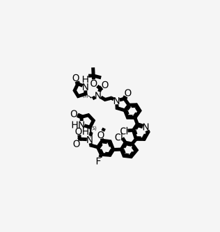 COc1cc(-c2cccc(-c3ccnc(-c4ccc5c(c4)CN(CCN(C[C@@H]4CCC(=O)N4)C(=O)OC(C)(C)C)C5=O)c3Cl)c2Cl)cc(F)c1CN(C[C@@H]1CCC(=O)N1)C(=O)O